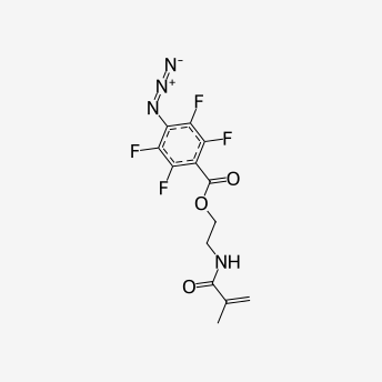 C=C(C)C(=O)NCCOC(=O)c1c(F)c(F)c(N=[N+]=[N-])c(F)c1F